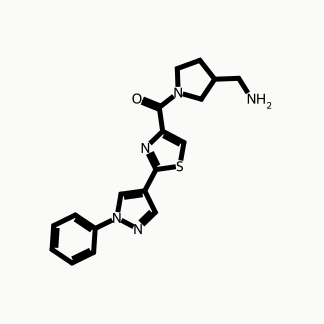 NCC1CCN(C(=O)c2csc(-c3cnn(-c4ccccc4)c3)n2)C1